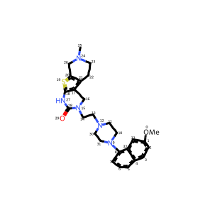 COc1ccc2cccc(N3CCN(CCN4Cc5c(sc6c5CCN(C)C6)NC4=O)CC3)c2c1